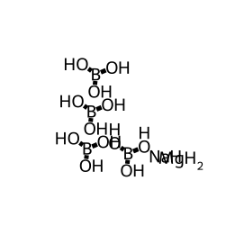 OB(O)O.OB(O)O.OB(O)O.OB(O)O.[MgH2].[NaH]